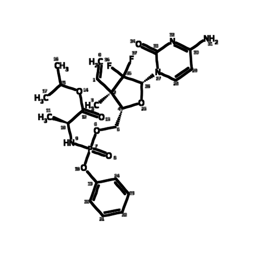 C=C[C@]1(C)[C@@H](COP(=O)(N[C@@H](C)C(=O)OC(C)C)Oc2ccccc2)O[C@@H](n2ccc(N)nc2=O)C1(F)F